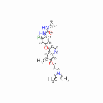 CCN(CC)CCCOc1cc2nccc(Oc3ccc(NC(=O)NC4CC4)c(F)c3)c2cc1C